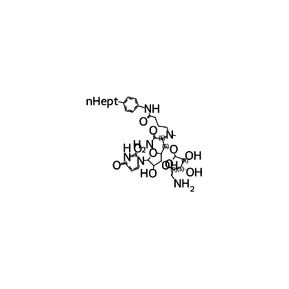 CCCCCCCc1ccc(NC(=O)CCCN(C)[C@H](C(N)=O)[C@H](OC2O[C@H](CN)[C@@H](O)[C@H]2O)C2OC(n3ccc(=O)[nH]c3=O)C(O)C2O)cc1